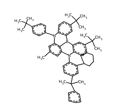 Cc1cc2c3c(c1)N(c1ccc(C(C)(C)c4ccccc4)cc1C1CCCCC1)c1ccc(C(C)(C)C)cc1B3c1cc(C(C)(C)C)ccc1N2c1ccc(C(C)(C)C)cc1